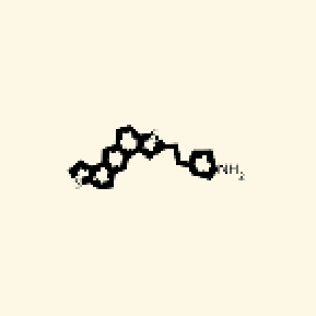 Nc1ccc(CCc2cc3c(ccc4cc5c(ccc6sccc65)cc43)s2)cc1